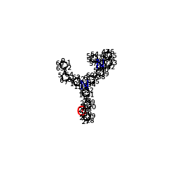 c1ccc(-c2cccc(-c3ccc(N(c4ccc(-c5ccc6c(c5)oc5ccccc56)cc4)c4ccc(-c5ccc6c7ccc8ccccc8c7n(-c7ccccc7)c6c5)cc4)cc3)c2)cc1